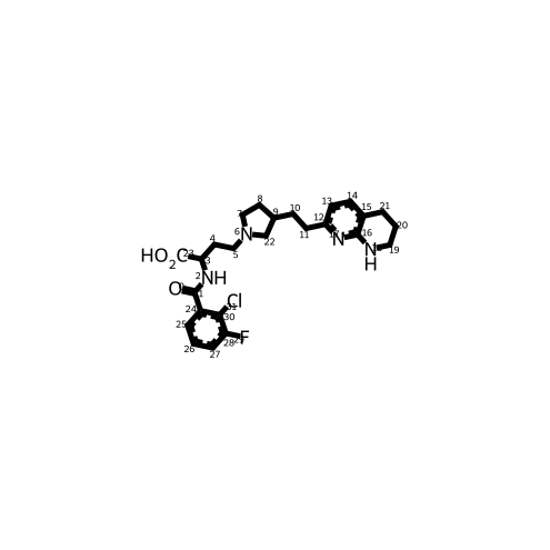 O=C(NC(CCN1CCC(CCc2ccc3c(n2)NCCC3)C1)C(=O)O)c1cccc(F)c1Cl